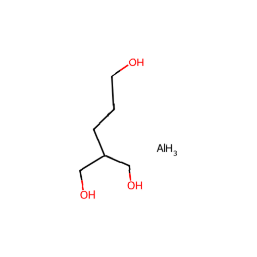 OCCCC(CO)CO.[AlH3]